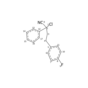 N#CC(Cl)(CCc1ccc(F)cc1)c1ccccc1